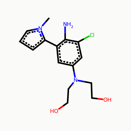 Cn1cccc1-c1cc(N(CCO)CCO)cc(Cl)c1N